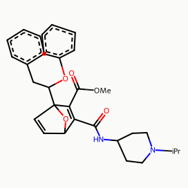 COC(=O)C1=C(C(=O)NC2CCN(C(C)C)CC2)C2C=CC1(C(Cc1ccccc1)Oc1ccccc1)O2